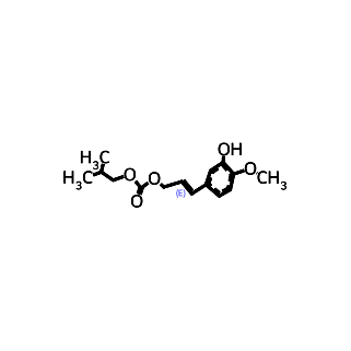 COc1ccc(/C=C/COC(=O)OCC(C)C)cc1O